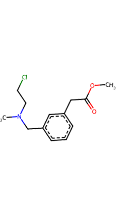 COC(=O)Cc1cccc(CN(C)CCCl)c1